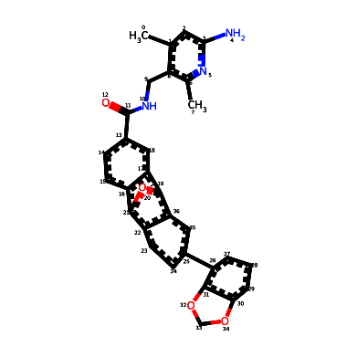 Cc1cc(N)nc(C)c1CNC(=O)c1ccc2c(c1)c1oc2c2ccc(-c3cccc4c3OCO4)cc21